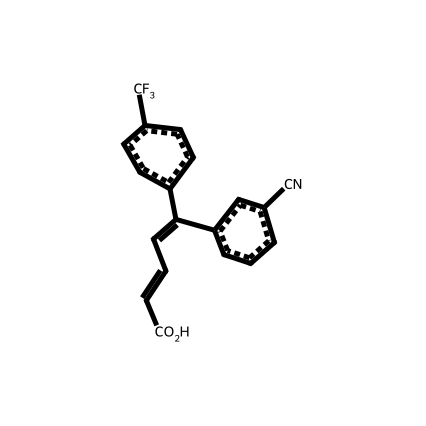 N#Cc1cccc(/C(=C\C=C\C(=O)O)c2ccc(C(F)(F)F)cc2)c1